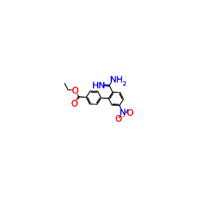 CCOC(=O)c1ccc(-c2cc([N+](=O)[O-])ccc2C(=N)N)cc1